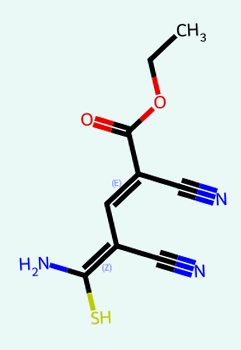 CCOC(=O)/C(C#N)=C/C(C#N)=C(\N)S